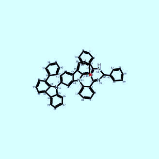 c1ccc(C2=NC(c3ccccc3-n3c4ccccc4c4ccc(-n5c6ccccc6c6cccc(-c7ccccc7)c65)cc43)=NC(c3ccccc3)N2)cc1